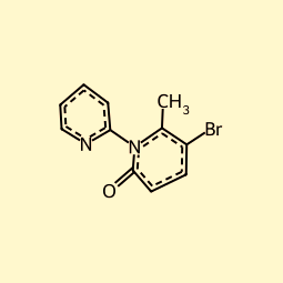 Cc1c(Br)ccc(=O)n1-c1ccccn1